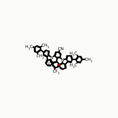 Cc1cc(C)c(-c2ccc3c(c2)c2ccccc2n3-c2cc(C#N)cc(-n3c4ccccc4c4cc(-c5c(C)cc(C)cc5C)ccc43)c2-c2ccc(C(F)(F)F)cc2C(F)(F)F)c(C)c1